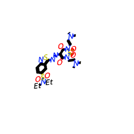 CCN(CC)S(=O)(=O)c1ccc2nsc(N=NC3C(=O)N(CCN(C)C)S(=O)(=O)N(CCN(C)C)C3=O)c2c1